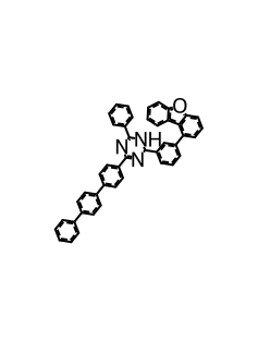 c1ccc(C2=NC(c3ccc(-c4ccc(-c5ccccc5)cc4)cc3)=NC(c3cccc(-c4cccc5oc6ccccc6c45)c3)N2)cc1